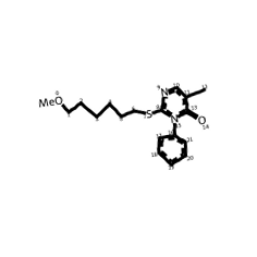 COCCCCCCSc1ncc(C)c(=O)n1-c1ccccc1